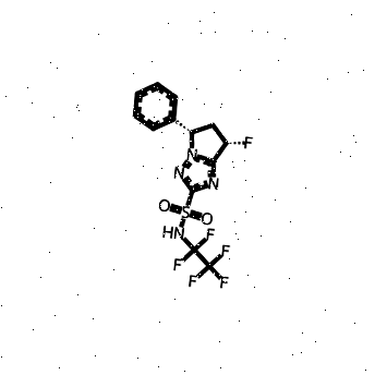 O=S(=O)(NC(F)(F)C(F)(F)F)c1nc2n(n1)[C@H](c1ccccc1)C[C@@H]2F